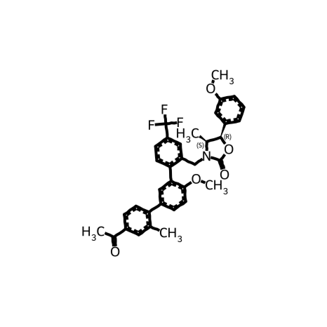 COc1cccc([C@H]2OC(=O)N(Cc3cc(C(F)(F)F)ccc3-c3cc(-c4ccc(C(C)=O)cc4C)ccc3OC)[C@H]2C)c1